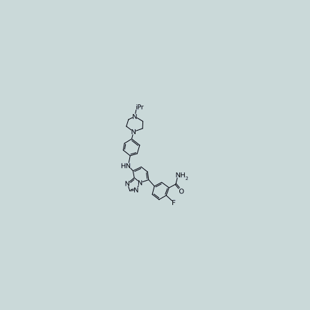 CC(C)N1CCN(c2ccc(Nc3ccc(-c4ccc(F)c(C(N)=O)c4)n4ncnc34)cc2)CC1